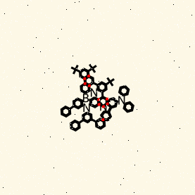 CC(C)(C)c1cc(-c2ccc3c(c2)N(c2c(-c4ccccc4)cc(C(C)(C)C)cc2-c2ccccc2)c2cc(-n4c5ccccc5c5cc(N(c6ccccc6)c6ccccc6)ccc54)cc4c2B3c2ccc(-c3ccccc3)cc2N4c2cc(-c3ccccc3)cc(-c3ccccc3)c2)cc(C(C)(C)C)c1